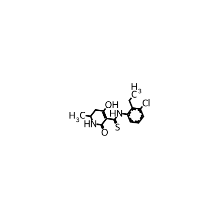 CCc1c(Cl)cccc1NC(=S)C1=C(O)CC(C)NC1=O